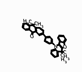 CC1(C)c2ccccc2C(=O)c2cc(-c3ccc(N4c5ccccc5C(C)(C)c5oc6ccccc6c54)cc3)ccc21